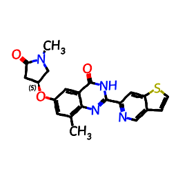 Cc1cc(O[C@H]2CC(=O)N(C)C2)cc2c(=O)[nH]c(-c3cc4sccc4cn3)nc12